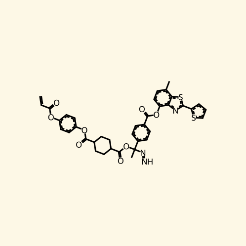 C=CC(=O)Oc1ccc(OC(=O)C2CCC(C(=O)OC(C)(N=N)c3ccc(C(=O)Oc4ccc(C)c5sc(-c6cccs6)nc45)cc3)CC2)cc1